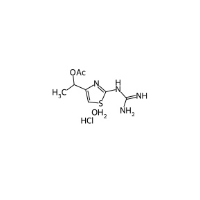 CC(=O)OC(C)c1csc(NC(=N)N)n1.Cl.O